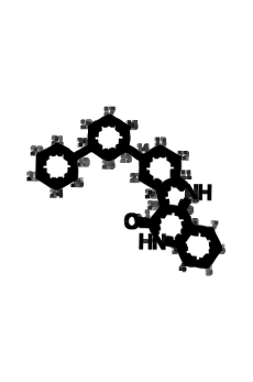 O=c1[nH]c2ccccc2c2[nH]c3ccc(-c4cccc(-c5ccccc5)c4)cc3c12